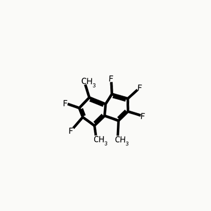 Cc1c(F)c(F)c(C)c2c(F)c(F)c(F)c(C)c12